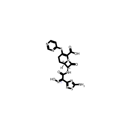 Nc1nc(/C(=N/O)C(=O)N[C@@H]2C(=O)N3C(C(=O)O)=C(Sc4ccncn4)CC[C@H]23)ns1